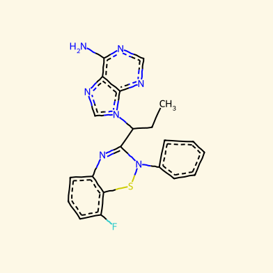 CCC(C1=Nc2cccc(F)c2SN1c1ccccc1)n1cnc2c(N)ncnc21